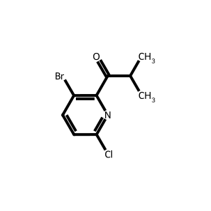 CC(C)C(=O)c1nc(Cl)ccc1Br